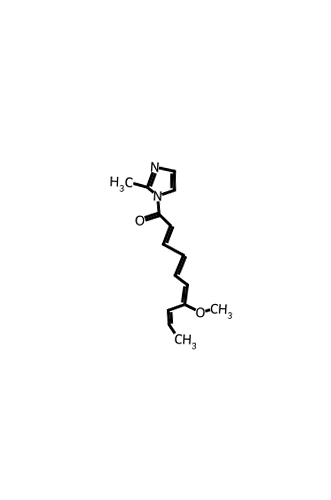 C\C=C/C(=C\C=C\C=C\C(=O)n1ccnc1C)OC